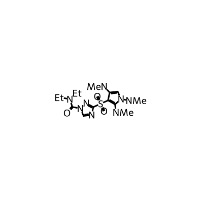 CCN(CC)C(=O)n1cnc(S(=O)(=O)c2c(NC)cn(NC)c2NC)n1